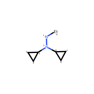 CC[N]N(C1CC1)C1CC1